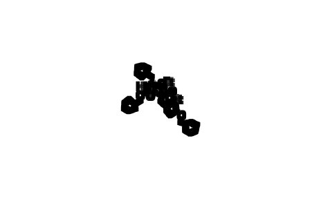 CCOP(=O)(OCC)C(Cc1ccc(OCc2ccccc2)cc1)NC(=O)[C@H](Cc1ccccc1)NC(=O)OCc1ccccc1